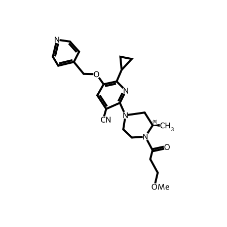 COCCC(=O)N1CCN(c2nc(C3CC3)c(OCc3ccncc3)cc2C#N)C[C@H]1C